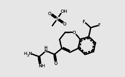 CS(=O)(=O)O.N=C(N)NC(=O)C1=Cc2cccc(C(F)F)c2OCC1